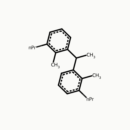 CCCc1cccc(C(C)c2cccc(CCC)c2C)c1C